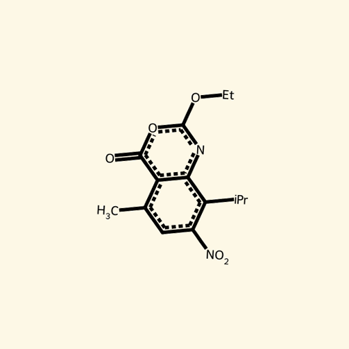 CCOc1nc2c(C(C)C)c([N+](=O)[O-])cc(C)c2c(=O)o1